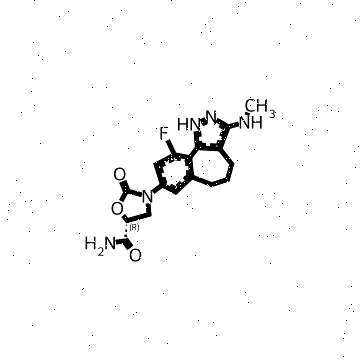 CNc1n[nH]c2c1CCCc1cc(N3C[C@H](C(N)=O)OC3=O)cc(F)c1-2